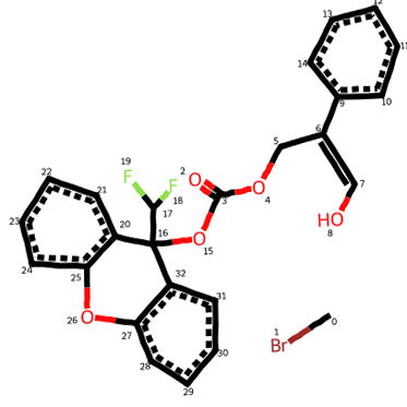 CBr.O=C(OCC(=CO)c1ccccc1)OC1(C(F)F)c2ccccc2Oc2ccccc21